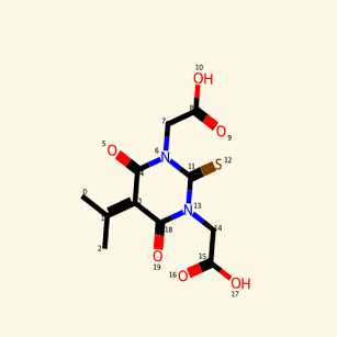 CC(C)=C1C(=O)N(CC(=O)O)C(=S)N(CC(=O)O)C1=O